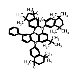 Cc1cc2c(cc1N1c3cc4c(cc3B3c5cc(-c6ccccc6)ccc5N(c5ccc6c(c5)C(C)(C)CCC6(C)C)c5cc(C(C)(C)C)cc1c53)C(C)(C)CC4(C)C)C(C)(C)CCC2(C)C